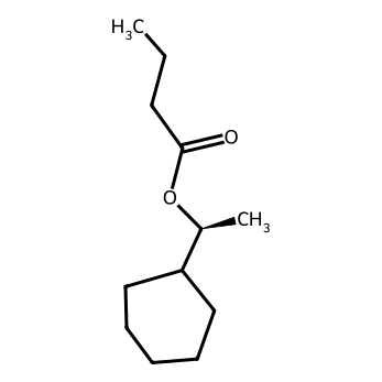 CCCC(=O)O[C@@H](C)C1CCCCC1